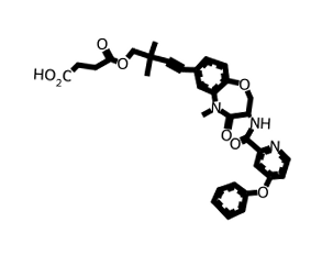 CN1C(=O)[C@H](NC(=O)c2cc(Oc3ccccc3)ccn2)COc2ccc(C#CC(C)(C)COC(=O)CCC(=O)O)cc21